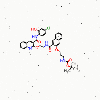 CC(C)(C)OC(=O)NCCCOc1cc2ccccc2cc1C(=O)NCCOc1nc2ccccc2cc1C(=O)Nc1ccc(Cl)cc1O